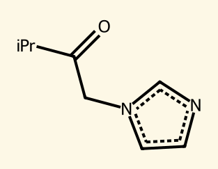 CC(C)C(=O)Cn1ccnc1